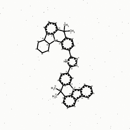 CC1(C)c2ccc(-c3nnc(-c4ccc5c(c4)-n4c6ccccc6c6cccc(c64)C5(C)C)[nH]3)cc2N2c3c(cccc31)C1CCCCC12